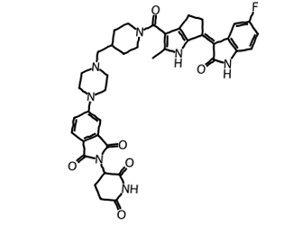 Cc1[nH]c2c(c1C(=O)N1CCC(CN3CCN(c4ccc5c(c4)C(=O)N(C4CCC(=O)NC4=O)C5=O)CC3)CC1)CC/C2=C1/C(=O)Nc2ccc(F)cc21